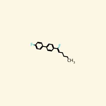 CCCCC=C(F)c1ccc(-c2ccc(F)cc2)cc1